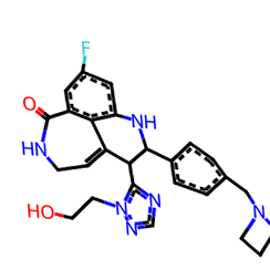 O=C1NCC=C2c3c(cc(F)cc31)NC(c1ccc(CN3CCC3)cc1)C2c1ncnn1CCO